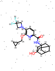 O=C(NC12CC3CC(CC(O)(C3)C1)C2)c1ccc(N2CC(F)(F)C2)c(OCC2CC2)n1